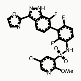 COc1ncc(Cl)cc1S(=O)(=O)Nc1ccc(F)c(-c2ccc3c(-c4ncco4)n[nH]c3c2F)c1F